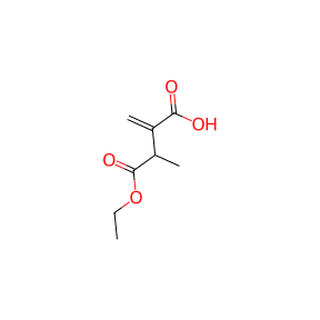 C=C(C(=O)O)C(C)C(=O)OCC